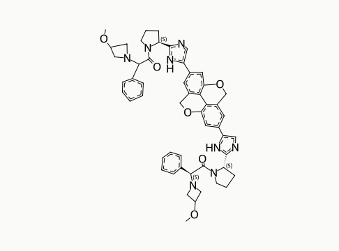 COC1CN(C(C(=O)N2CCC[C@H]2c2ncc(-c3cc4c5c(c3)OCc3cc(-c6cnc([C@@H]7CCCN7C(=O)[C@H](c7ccccc7)N7CC(OC)C7)[nH]6)cc(c3-5)OC4)[nH]2)c2ccccc2)C1